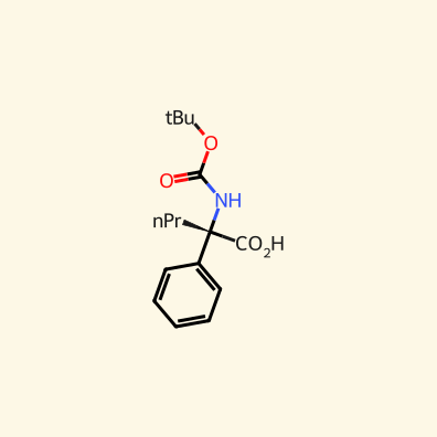 CCC[C@@](NC(=O)OC(C)(C)C)(C(=O)O)c1ccccc1